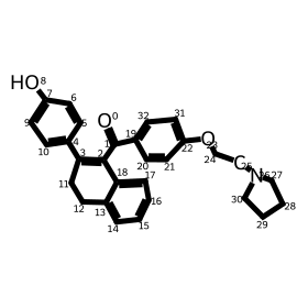 O=C(C1=C(c2ccc(O)cc2)CCc2ccccc21)c1ccc(OCCN2CCCC2)cc1